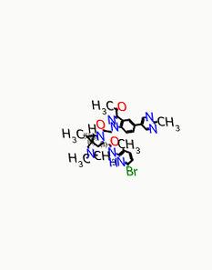 CC(=O)c1nn(CC(=O)N2[C@H]3[C@@H](C)[C@@]3(CN(C)C)C[C@H]2C(=O)Nc2nc(Br)ccc2C)c2ccc(-c3cnc(C)nc3)cc12